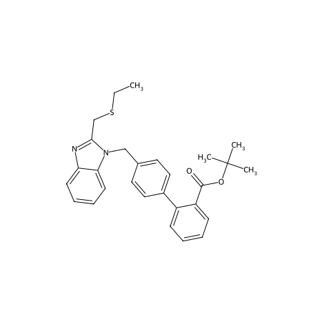 CCSCc1nc2ccccc2n1Cc1ccc(-c2ccccc2C(=O)OC(C)(C)C)cc1